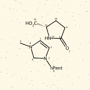 CCCCCN1C=CN(C)C1.O=C1CC[C@@H](C(=O)O)N1